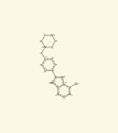 Clc1ncnc2[nH]c(-c3ccc(CN4CCOCC4)cc3)nc12